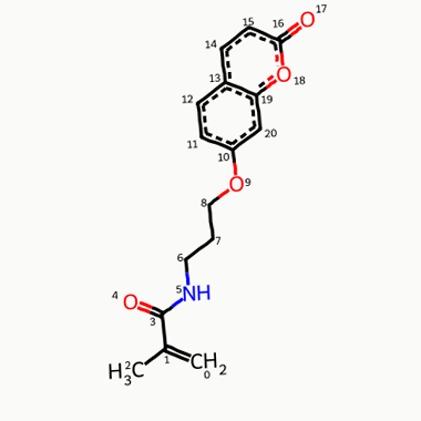 C=C(C)C(=O)NCCCOc1ccc2ccc(=O)oc2c1